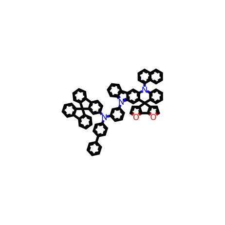 c1ccc(-c2ccc(N(c3cccc(-n4c5ccccc5c5cc6c(cc54)C4(c5ccccc5N6c5cccc6ccccc56)c5ccoc5-c5occc54)c3)c3ccc4c(c3)C3(c5ccccc5-c5ccccc53)c3ccccc3-4)cc2)cc1